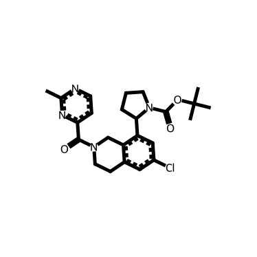 Cc1nccc(C(=O)N2CCc3cc(Cl)cc(C4CCCN4C(=O)OC(C)(C)C)c3C2)n1